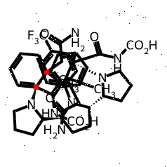 CC1(CC(N)=O)c2ccc(cc2)[C@]1(C(=O)NC(=O)O)N1CCCC1[C@@H]1CC[C@@H](C2CCCN2[C@@]2(C(=O)NC(=O)O)c3ccc(cc3)C2(C)CC(N)=O)N1c1ccc(C(F)(F)F)cc1